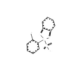 O=S(=O)(O)[N+]1(c2ccccc2O)N=c2ccccc2=N1